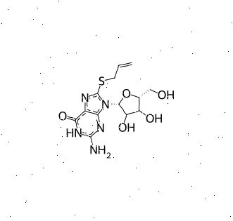 C=CCSc1nc2c(=O)[nH]c(N)nc2n1[C@@H]1O[C@H](CO)C(O)C1O